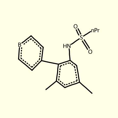 CCCS(=O)(=O)Nc1cc(C)cc(C)c1-c1ccbcc1